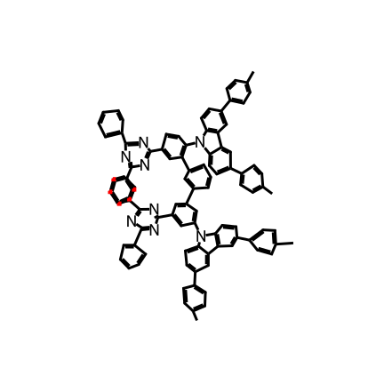 Cc1ccc(-c2ccc3c(c2)c2cc(-c4ccc(C)cc4)ccc2n3-c2cc(-c3cccc(-c4cc(-c5nc(-c6ccccc6)nc(-c6ccccc6)n5)ccc4-n4c5ccc(-c6ccc(C)cc6)cc5c5cc(-c6ccc(C)cc6)ccc54)c3)cc(-c3nc(-c4ccccc4)nc(-c4ccccc4)n3)c2)cc1